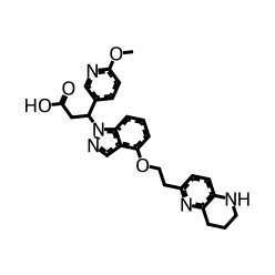 COc1ccc(C(CC(=O)O)n2ncc3c(OCCc4ccc5c(n4)CCCN5)cccc32)cn1